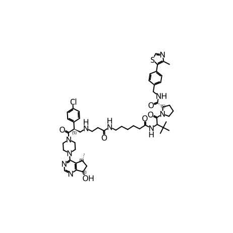 Cc1ncsc1-c1ccc(CNC(=O)[C@@H]2CCCN2C(=O)C(NC(=O)CCCCCNC(=O)CCNC[C@@H](C(=O)N2CCN(c3ncnc4c3[C@H](C)C[C@H]4O)CC2)c2ccc(Cl)cc2)C(C)(C)C)cc1